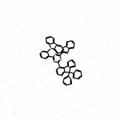 c1ccc(C2(c3ccccc3)c3ccccc3-c3c(-c4nc(-c5cc6ccccc6o5)nc(-c5ccccc5-n5c6ccccc6c6ccccc65)n4)cccc32)cc1